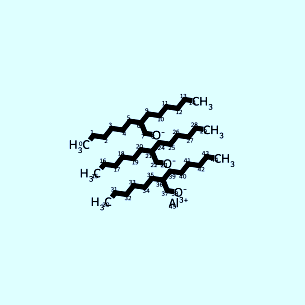 CCCCCCC(C[O-])CCCCCC.CCCCCCC(C[O-])CCCCCC.CCCCCCC(C[O-])CCCCCC.[Al+3]